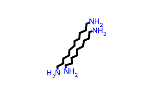 NCCCCCCCCCCCN.NCCCCCCCCCN